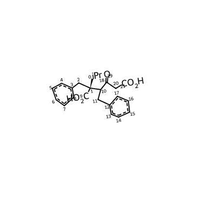 CC(C)[C@](Cc1ccccc1)(C(=O)O)C(Cc1ccccc1)C(=O)CC(=O)O